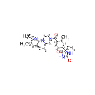 Cc1cc(C2(C)NC(=O)NC2=O)ccc1C(=O)N1CCN(c2nc(C)c(C)cc2C)CC1